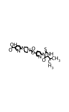 CC(C)C1NC(=S)N(c2ccc(OC(=O)N3CCN(c4ccc(C(=O)O)cn4)CC3)cn2)C1=O